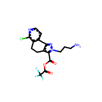 NCCCn1nc2c(c1C(=O)OC(=O)C(F)(F)F)CCc1c-2ccnc1Cl